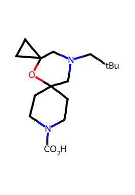 CC(C)(C)CN1CC2(CCN(C(=O)O)CC2)OC2(CC2)C1